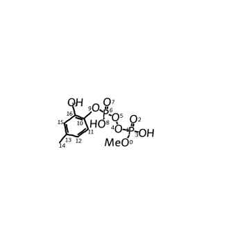 COP(=O)(O)OOP(=O)(O)Oc1ccc(C)cc1O